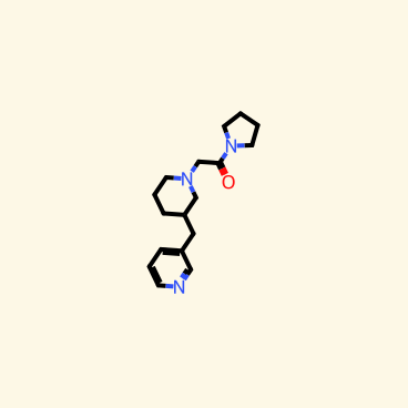 O=C(CN1CCCC(Cc2cccnc2)C1)N1CCCC1